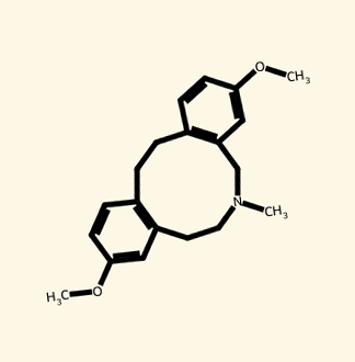 COc1ccc2c(c1)CCN(C)Cc1cc(OC)ccc1CC2